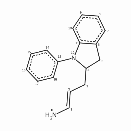 NC=CCC1Cc2ccccc2N1c1ccccc1